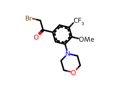 COc1c(N2CCOCC2)cc(C(=O)CBr)cc1C(F)(F)F